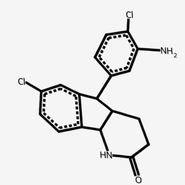 Nc1cc(C2c3cc(Cl)ccc3C3NC(=O)CCC32)ccc1Cl